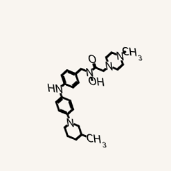 CC1CCCN(c2ccc(Nc3ccc(CN(O)C(=O)CN4CCN(C)CC4)cc3)cc2)C1